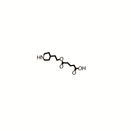 O=C(O)CCCC(=O)OCCC1CCNCC1